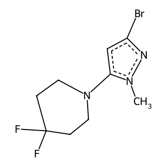 Cn1nc(Br)cc1N1CCC(F)(F)CC1